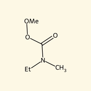 CCN(C)C(=O)OOC